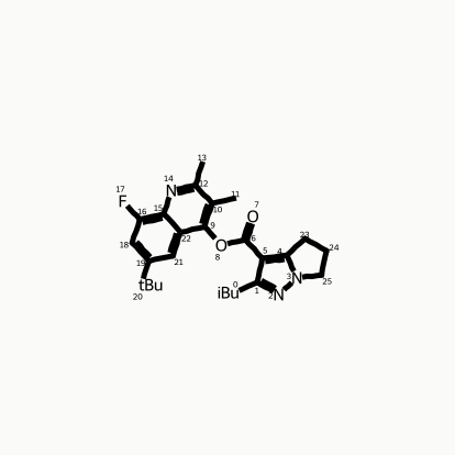 CCC(C)c1nn2c(c1C(=O)Oc1c(C)c(C)nc3c(F)cc(C(C)(C)C)cc13)CCC2